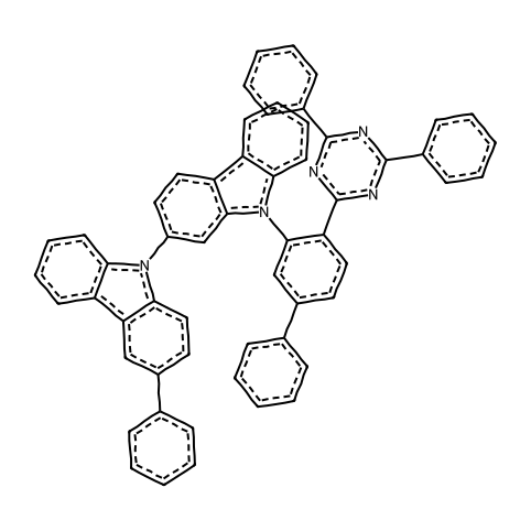 c1ccc(-c2ccc(-c3nc(-c4ccccc4)nc(-c4ccccc4)n3)c(-n3c4ccccc4c4ccc(-n5c6ccccc6c6cc(-c7ccccc7)ccc65)cc43)c2)cc1